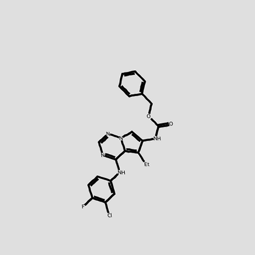 CCc1c(NC(=O)OCc2ccccc2)cn2ncnc(Nc3ccc(F)c(Cl)c3)c12